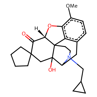 COc1ccc2c3c1O[C@H]1C(=O)C4(CCCC4)CC4(O)C(C2)N(CC2CC2)CCC314